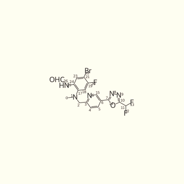 CN(Cc1ccc(-c2nnc(C(F)F)o2)cn1)c1cc(F)c(Br)cc1NC=O